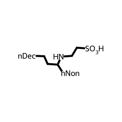 CCCCCCCCCCCCC(CCCCCCCCC)NCCS(=O)(=O)O